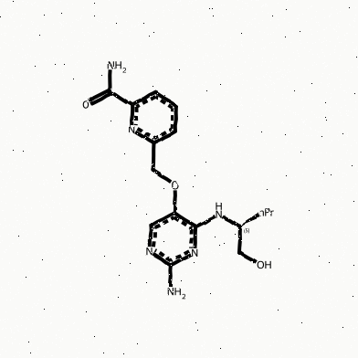 CCC[C@@H](CO)Nc1nc(N)ncc1OCc1cccc(C(N)=O)n1